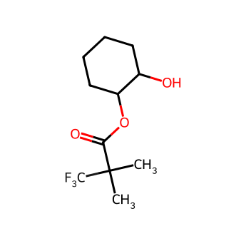 CC(C)(C(=O)OC1CCCCC1O)C(F)(F)F